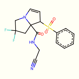 N#CCNC(=O)C12CC(F)(F)CN1C=CC2S(=O)(=O)c1ccccc1